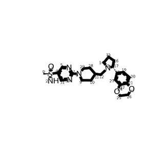 C[S@@](=N)(=O)c1cnc(N2CCC(CN3CCC[C@@H]3c3ccc4c(c3)OCCO4)CC2)nc1